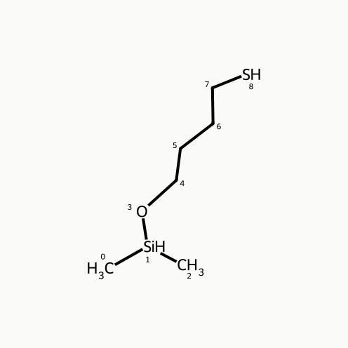 C[SiH](C)OCCCCS